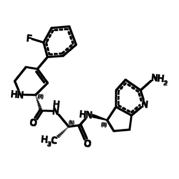 C[C@H](NC(=O)[C@H]1C=C(c2ccccc2F)CCN1)C(=O)N[C@@H]1CCc2nc(N)ccc21